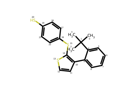 CC(C)(C)c1ccccc1-c1ccsc1Sc1ccc(S)cc1